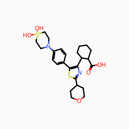 O=C(O)C1CCCCC1c1nc(C2CCOCC2)sc1-c1ccc(N2CCS(O)(O)CC2)cc1